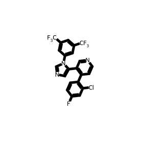 Fc1ccc(-c2ccncc2-c2cncn2-c2cc(C(F)(F)F)cc(C(F)(F)F)c2)c(Cl)c1